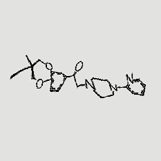 CC1(C)COc2ccc(C(=O)CN3CCN(c4ccccn4)CC3)cc2OC1